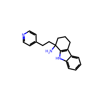 NC1(CCc2ccncc2)CCCc2c1[nH]c1ccccc21